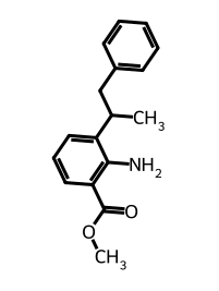 COC(=O)c1cccc(C(C)Cc2ccccc2)c1N